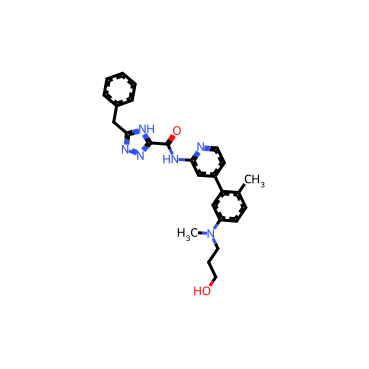 Cc1ccc(N(C)CCCO)cc1-c1ccnc(NC(=O)c2nnc(Cc3ccccc3)[nH]2)c1